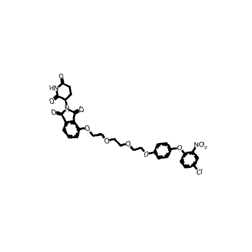 O=C1CCC(N2C(=O)c3cccc(OCCOCCOCCOc4ccc(Oc5ccc(Cl)cc5[N+](=O)[O-])cc4)c3C2=O)C(=O)N1